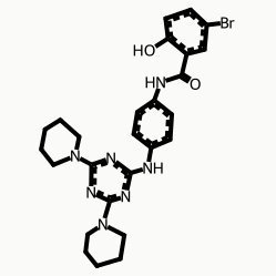 O=C(Nc1ccc(Nc2nc(N3CCCCC3)nc(N3CCCCC3)n2)cc1)c1cc(Br)ccc1O